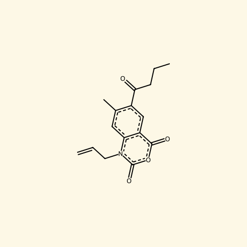 C=CCn1c(=O)oc(=O)c2cc(C(=O)CCC)c(C)cc21